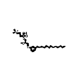 CCCCCCCCCCCCCc1cccc(OCC(COP(=O)(O)CCC[N+](C)(C)C)OC)c1